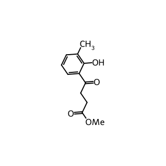 COC(=O)CCC(=O)c1cccc(C)c1O